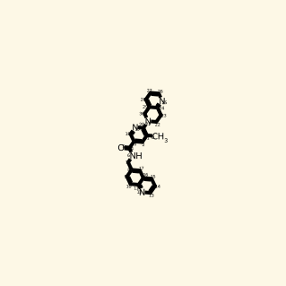 Cc1cc(C(=O)NCc2ccc3ncccc3c2)cnc1N1CCc2ncccc2C1